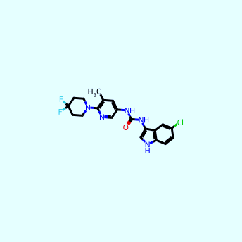 Cc1cc(NC(=O)Nc2c[nH]c3ccc(Cl)cc23)cnc1N1CCC(F)(F)CC1